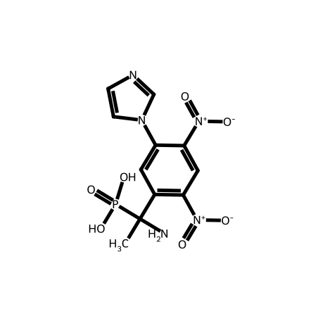 CC(N)(c1cc(-n2ccnc2)c([N+](=O)[O-])cc1[N+](=O)[O-])P(=O)(O)O